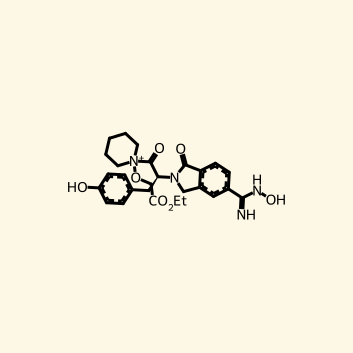 CCOC(=O)CO[N+]1(C(=O)[C@H](Cc2ccc(O)cc2)N2Cc3cc(C(=N)NO)ccc3C2=O)CCCCC1